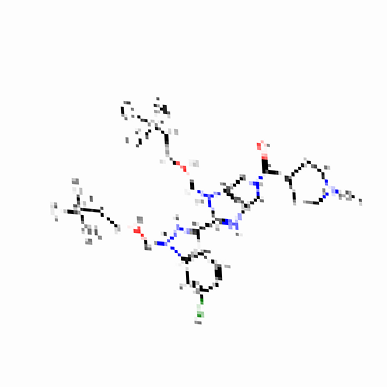 CN1CCC(C(=O)N2Cc3nc(-c4nn(COCC[Si](C)(C)C)c5cc(Br)ccc45)n(COCC[Si](C)(C)C)c3C2)CC1